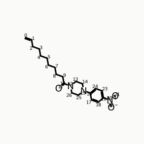 C=CCCCCCCCCC(=O)N1CCN(c2ccc([N+](=O)[O-])cc2)CC1